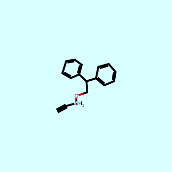 C#C[SiH2]OCC(c1ccccc1)c1ccccc1